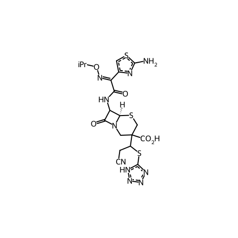 CC(C)ON=C(C(=O)NC1C(=O)N2CC(C(=O)O)(C(CC#N)Sc3nnn[nH]3)CS[C@H]12)c1csc(N)n1